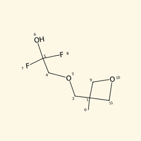 CC1(COCC(O)(F)F)COC1